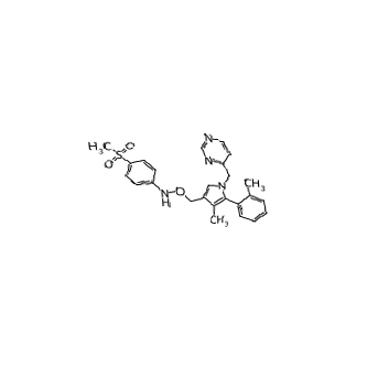 Cc1ccccc1-c1c(C)c(CONc2ccc(S(C)(=O)=O)cc2)cn1Cc1ccncn1